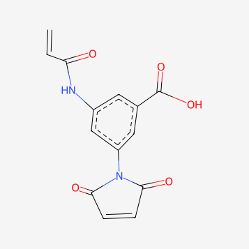 C=CC(=O)Nc1cc(C(=O)O)cc(N2C(=O)C=CC2=O)c1